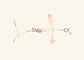 CS[S+](C)C.O=S(=O)([O-])C(F)(F)F